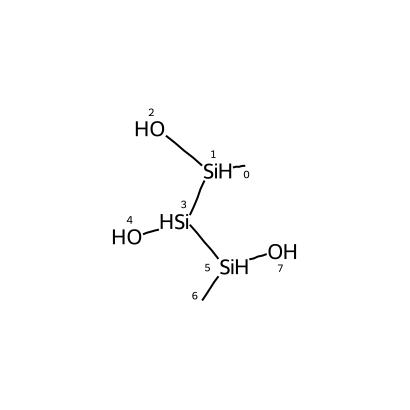 C[SiH](O)[SiH](O)[SiH](C)O